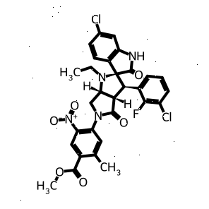 CCN1[C@H]2CN(c3cc(C)c(C(=O)OC)cc3[N+](=O)[O-])C(=O)[C@H]2[C@H](c2cccc(Cl)c2F)[C@]12C(=O)Nc1cc(Cl)ccc12